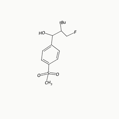 CC(C)(C)C(CF)C(O)c1ccc(S(C)(=O)=O)cc1